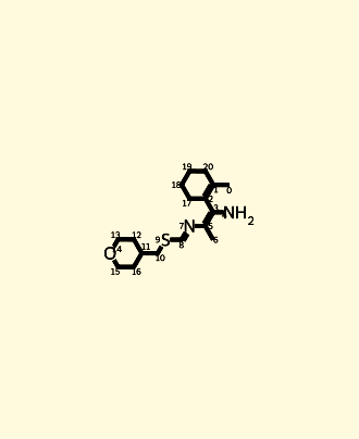 CC1=C(/C(N)=C(C)\N=C\SCC2CCOCC2)CCCC1